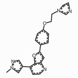 Cn1cc(-c2ccnc3cc(-c4ccc(OCCn5ccnc5)cc4)oc23)cn1